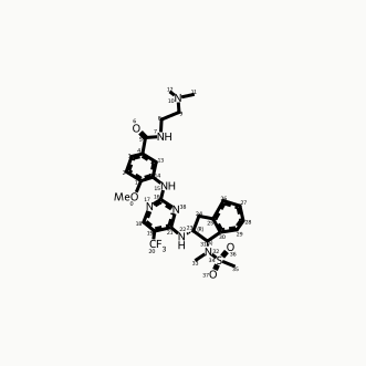 COc1ccc(C(=O)NCCN(C)C)cc1Nc1ncc(C(F)(F)F)c(N[C@@H]2Cc3ccccc3[C@@H]2N(C)S(C)(=O)=O)n1